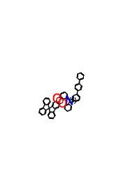 C1=C[C@@H](N(C2=CCCC=C2)c2cccc3c2Oc2cc4c(cc2O3)C2(c3ccccc3-c3ccccc32)c2ccccc2-4)CC(c2ccc(-c3ccccc3)cc2)=C1